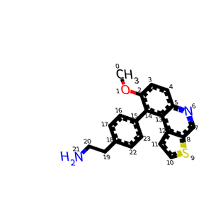 COc1ccc2ncc3sccc3c2c1-c1ccc(CCN)cc1